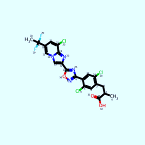 CC(Cc1cc(Cl)c(-c2noc(-c3cn4cc(C(C)(F)F)cc(Cl)c4n3)n2)cc1Cl)C(=O)O